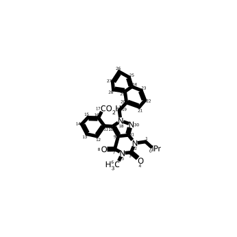 CC(C)Cn1c(=O)n(C)c(=O)c2c(-c3ccccc3C(=O)O)n(Cc3cccc4ccccc34)nc21